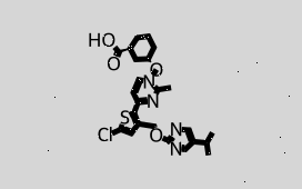 CC(C)c1cnc(OCc2cc(Cl)sc2C2=NC(C)N(O[C@H]3CCC[C@H](C(=O)O)C3)C=C2)nc1